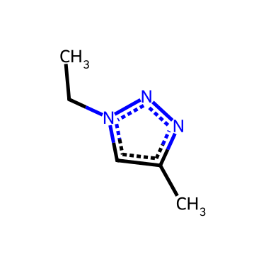 CCn1cc(C)nn1